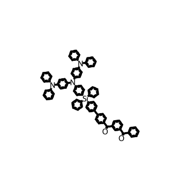 O=C(c1ccccc1)c1cccc(C(=O)c2ccc(-c3ccc([Si](c4ccccc4)(c4ccccc4)c4ccc(N(c5ccc(N(c6ccccc6)c6ccccc6)cc5)c5ccc(N(c6ccccc6)c6ccccc6)cc5)cc4)cc3)cc2)c1